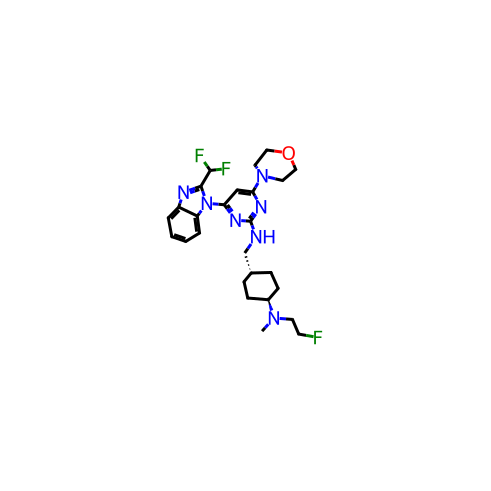 CN(CCF)[C@H]1CC[C@H](CNc2nc(N3CCOCC3)cc(-n3c(C(F)F)nc4ccccc43)n2)CC1